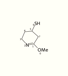 COC1=NCCC(S)C1